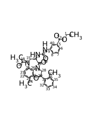 CCOC(=O)c1cccc(NC(=O)NC2CN(C(C)=O)c3ccc(C)cc3N(CC(=O)c3ccccc3C)C2=O)c1